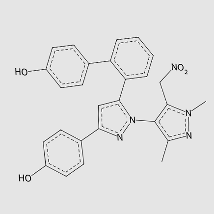 Cc1nn(C)c(C[N+](=O)[O-])c1-n1nc(-c2ccc(O)cc2)cc1-c1ccccc1-c1ccc(O)cc1